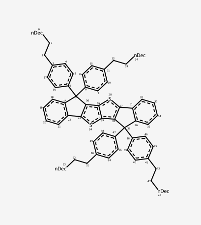 CCCCCCCCCCCCc1ccc(C2(c3ccc(CCCCCCCCCCCC)cc3)c3ccccc3-c3sc4c5c(sc4c32)-c2ccccc2C5(c2ccc(CCCCCCCCCCCC)cc2)c2ccc(CCCCCCCCCCCC)cc2)cc1